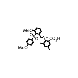 COc1ccc(S(=O)(=O)c2c(CNc3c(C)cc(C)cc3C(=O)O)cccc2OC)cc1